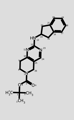 CC(C)(C)OC(=O)N1CCc2nc(NC3Cc4ccccc4C3)ncc2C1